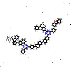 CC1(C)c2ccccc2-c2c(-c3ccc4c(-c5nc(-c6ccccc6)nc(-c6ccc7c(c6)sc6c8ccc(-c9ccc%10ccc(-c%11nc(-c%12cccc(-c%13ccc%14oc%15ccccc%15c%14c%13)c%12)nc(-c%12ccc%13c(c%12)CCC=C%13c%12ccccc%12)n%11)cc%10c9)cc8ccc76)n5)cccc4c3)cccc21